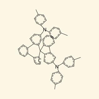 Cc1ccc(N(c2ccc(C)cc2)c2ccc3c(c2)-c2ccccc2C32c3ccccc3-c3ccccc3-c3ccc(N(c4ccc(C)cc4)c4ccc(C)cc4)cc32)cc1